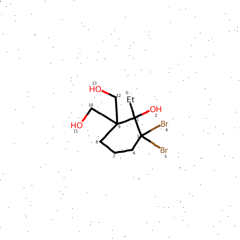 CCC1(O)C(Br)(Br)CCCC1(CO)CO